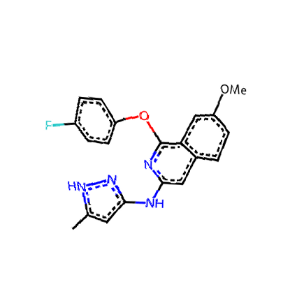 COc1ccc2cc(Nc3cc(C)[nH]n3)nc(Oc3ccc(F)cc3)c2c1